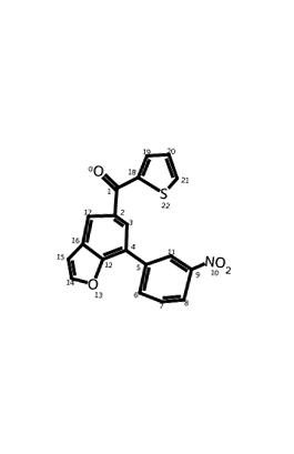 O=C(c1cc(-c2cccc([N+](=O)[O-])c2)c2occc2c1)c1cccs1